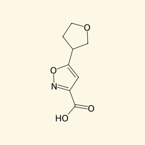 O=C(O)c1cc(C2CCOC2)on1